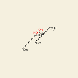 CCCC(O)O.CCCCCCCCCCCCCCCCCCCC(=O)O.CCCCCCCCCCCCCCCCCCCC(=O)O